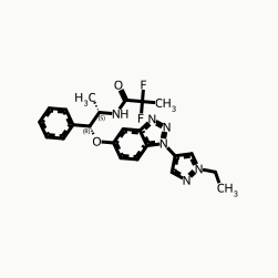 CCn1cc(-n2nnc3cc(O[C@H](c4ccccc4)[C@H](C)NC(=O)C(C)(F)F)ccc32)cn1